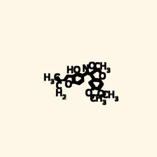 C=C(C)[C@H]1Cc2c(ccc(C3=NOC4(C)COc5cc(OC)c(OC)cc5C34)c2O)O1